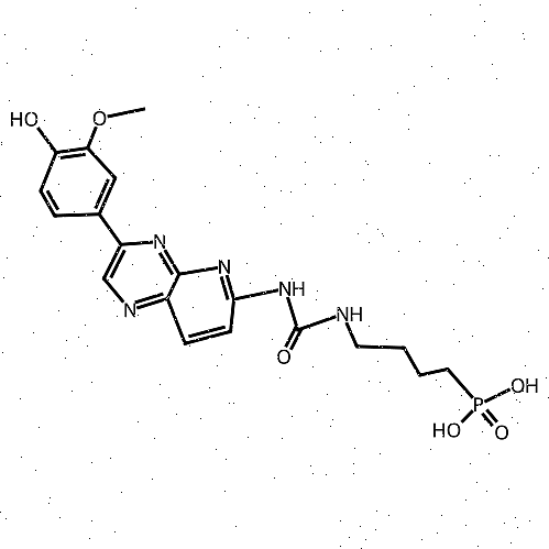 COc1cc(-c2cnc3ccc(NC(=O)NCCCCP(=O)(O)O)nc3n2)ccc1O